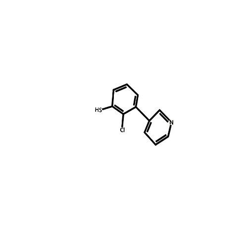 Sc1cccc(-c2cccnc2)c1Cl